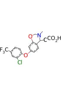 CN1COc2cc(Oc3ccc(C(F)(F)F)cc3Cl)ccc2C1CC(=O)O